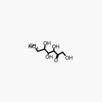 C.O=C(CO)C(O)C(O)C(O)CO